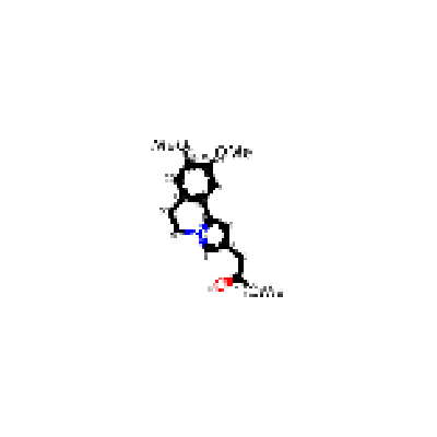 COC(=O)Cc1cc2n(c1)CCc1cc(OC)c(OC)cc1-2